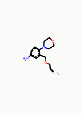 C=CCOCc1cc(N)ccc1N1CCOCC1